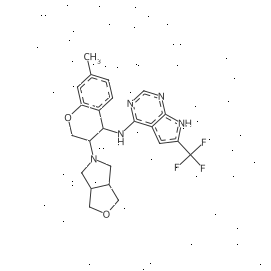 Cc1ccc2c(c1)OCC(N1CC3COCC3C1)C2Nc1ncnc2[nH]c(C(F)(F)F)cc12